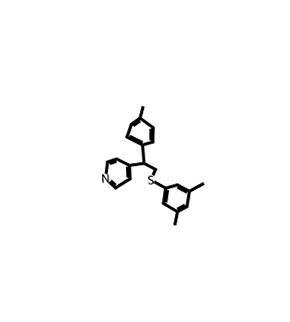 Cc1ccc(C(CSc2cc(C)cc(C)c2)c2ccncc2)cc1